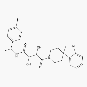 CC(NC(=O)C(O)C(O)C(=O)N1CCC2(CC1)CNc1ccccc12)c1ccc(Br)cc1